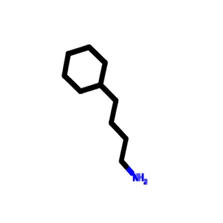 NCCCC[C]1CCCCC1